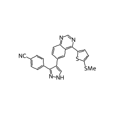 CSc1ccc(-c2ncnc3ccc(-c4c[nH]nc4-c4ccc(C#N)cc4)cc23)s1